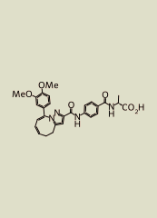 COc1ccc(/C2=C/C=C\CCc3cc(C(=O)Nc4ccc(C(=O)N[C@@H](C)C(=O)O)cc4)nn32)cc1OC